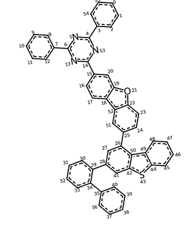 c1ccc(-c2nc(-c3ccccc3)nc(-c3ccc4c(c3)oc3ccc(-c5cc(-c6ccccc6-c6ccccc6)cc6sc7ccccc7c56)cc34)n2)cc1